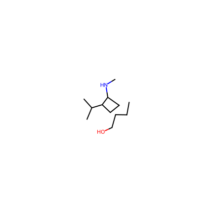 CCCCO.CNC1CCC1C(C)C